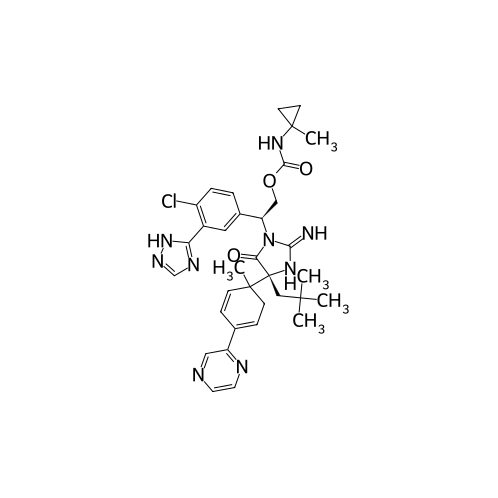 CC(C)(C)C[C@]1(C2(C)C=CC(c3cnccn3)=CC2)NC(=N)N([C@H](COC(=O)NC2(C)CC2)c2ccc(Cl)c(-c3ncn[nH]3)c2)C1=O